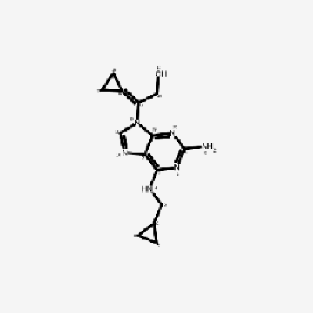 Nc1nc(NCC2CC2)c2ncn(C(CO)=C3CC3)c2n1